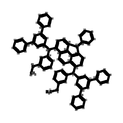 COc1cccc(N(c2cc(-c3ccccc3)cc(-c3ccccc3)c2)c2ccc3c4c2ccc2c(N(c5cccc(OC)c5)c5cc(-c6ccccc6)cc(-c6ccccc6)c5)ccc(c24)n3-c2ccccc2)c1